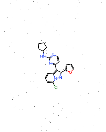 Clc1cccc2c(-c3ccnc(NC4CCCC4)n3)c(-c3ccco3)nn12